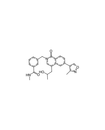 CNC(=O)c1cccc(Cn2cc(CC(C)O)c3cc(-c4conc4C)ccc3c2=O)c1